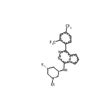 CCN1C[C@H](F)C[C@@H](Nc2nnc(-c3ccc(C(F)(F)F)cc3C(F)(F)F)c3cccn23)C1